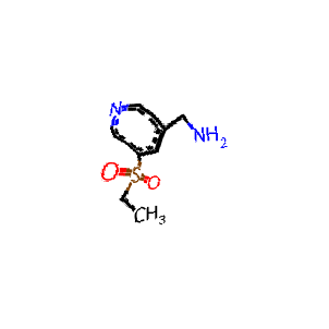 CCS(=O)(=O)c1cncc(CN)c1